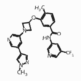 Cc1ccc(C(=O)Nc2cncc(C(F)(F)F)c2)cc1OC1CN(c2cncc(-c3cnn(C)c3)c2)C1